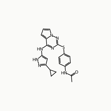 CC(=O)Nc1ccc(Sc2nc(Nc3cc(C4CC4)n[nH]3)c3cccn3n2)cc1